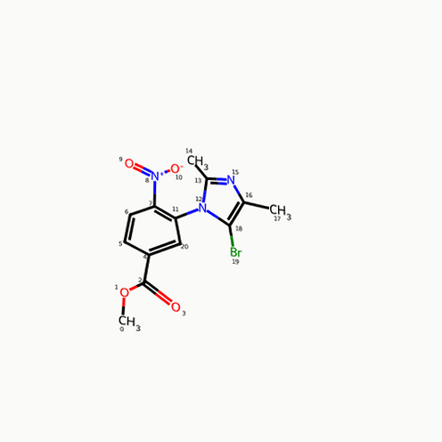 COC(=O)c1ccc([N+](=O)[O-])c(-n2c(C)nc(C)c2Br)c1